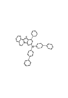 c1ccc(-c2ccc(N(c3ccc(-c4ccccc4)cc3)c3cc(-c4ccccc4)c4sc5c6ccccc6ccc5c4c3)cc2)cc1